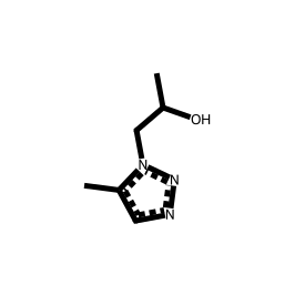 Cc1cnnn1CC(C)O